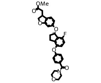 COC(=O)CC1COc2cc(O[C@H]3CCc4c(Oc5ccc(C(=O)N6CCOCC6)cc5)ccc(F)c43)ccc21